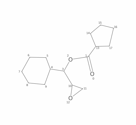 O=C(OC(C1CCCCC1)C1CO1)C1CCCC1